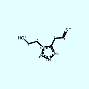 OCCn1nnnc1C[C]=S